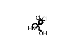 OCCCC1(c2ccc(Cl)c(Cl)c2)CCCNC1